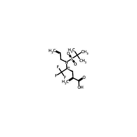 C=CCN([C@@H](CC(=C)C(=O)O)C(F)(F)F)S(=O)(=O)C(C)(C)C